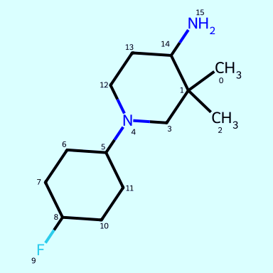 CC1(C)CN(C2CCC(F)CC2)CCC1N